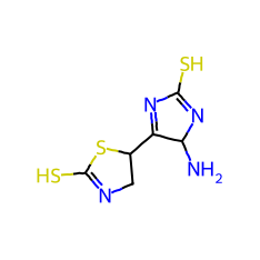 NC1N=C(S)N=C1C1CN=C(S)S1